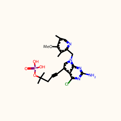 COc1c(C)cnc(Cn2cc(C#CCC(C)(C)OP(=O)(O)O)c3c(Cl)nc(N)nc32)c1C